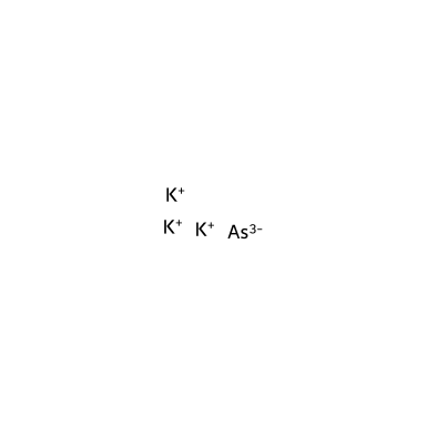 [As-3].[K+].[K+].[K+]